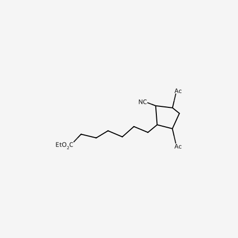 CCOC(=O)CCCCCCC1C(C(C)=O)CC(C(C)=O)C1C#N